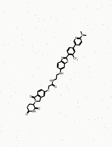 CN(C)c1ccc(-c2ccc(-c3nc4ccc(NCCNC(=O)COc5ccc6c(c5)CN(C5CCC(=O)NC5=O)C6=O)cc4s3)c(C(F)(F)F)c2)cn1